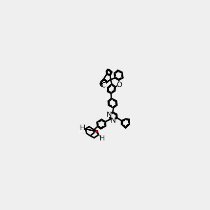 c1ccc(-c2cc(-c3ccc(-c4ccc5c(c4)Oc4ccccc4C54c5ccccc5-c5ccccc54)cc3)nc(-c3ccc(C45CC6C[C@H](C4)C[C@H](C6)C5)cc3)n2)cc1